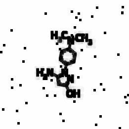 CN(C)c1ccc(-n2nc(O)cc2N)cc1